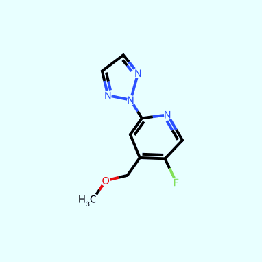 COCc1cc(-n2nccn2)ncc1F